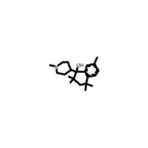 Cc1ccc2c(c1)C(O)(C1CCN(C)CC1)C(C)(C)CC2(C)C